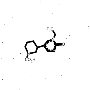 O=C(O)N1CCCC(c2ccc(=O)n(CC(F)(F)F)c2)C1